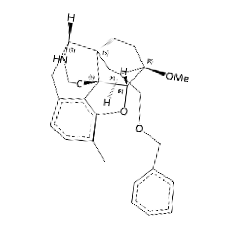 CO[C@]12CC[C@@]3(C[C@@H]1COCc1ccccc1)[C@H]1Cc4ccc(C)c5c4[C@@]3(CCN1)[C@H]2O5